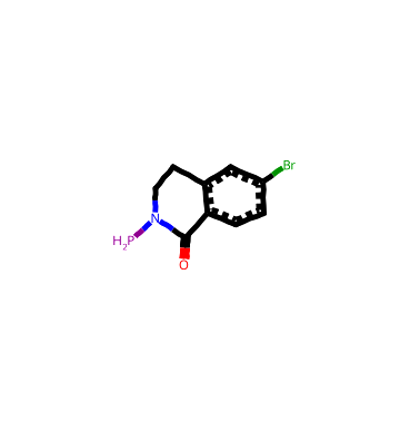 O=C1c2ccc(Br)cc2CCN1P